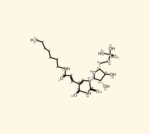 NCCCCCCNC(=O)/C=C/c1cn([C@@H]2O[C@H](COP(=O)(O)O)C(O)[C@@H]2O)c(=O)[nH]c1=O